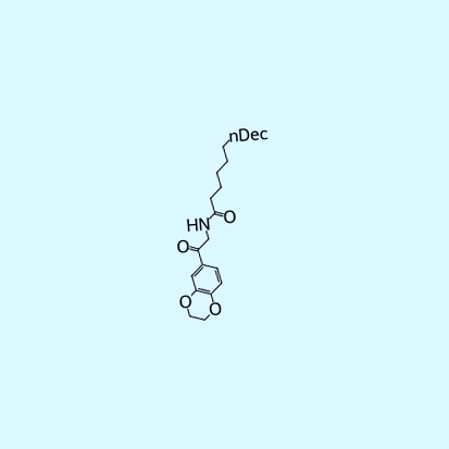 CCCCCCCCCCCCCCCC(=O)NCC(=O)c1ccc2c(c1)OCCO2